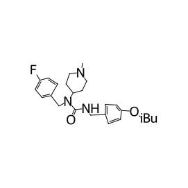 CCC(C)Oc1ccc(CNC(=O)N(Cc2ccc(F)cc2)C2CCN(C)CC2)cc1